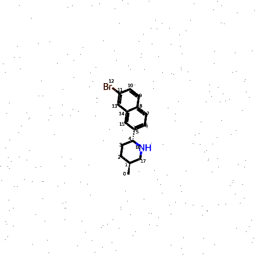 C[C@H]1CC[C@H](c2ccc3ccc(Br)cc3c2)NC1